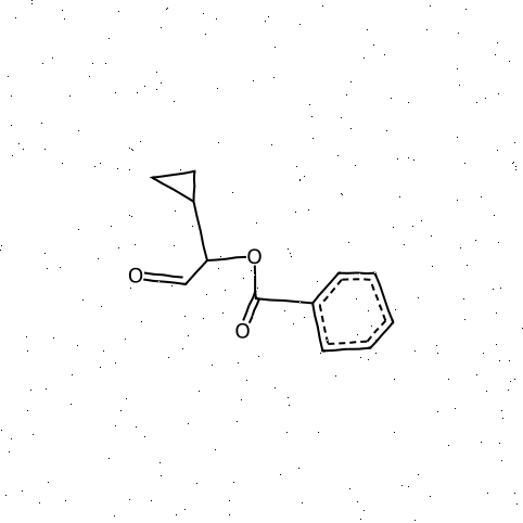 O=CC(OC(=O)c1ccccc1)C1CC1